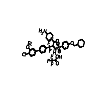 CCOc1cc(-c2ccc(C(F)(F)C(NS(=O)(=O)c3ccc(OCC4CCCCC4)cc3)C(=O)N3CCC(N)CC3)cc2)ccc1Cl.O=C(O)C(F)(F)F